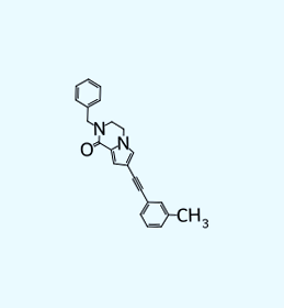 Cc1cccc(C#Cc2cc3n(c2)CCN(Cc2ccccc2)C3=O)c1